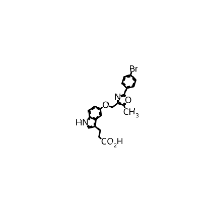 Cc1oc(-c2ccc(Br)cc2)nc1COc1ccc2[nH]cc(CCC(=O)O)c2c1